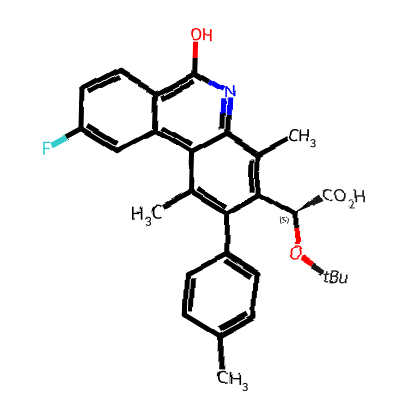 Cc1ccc(-c2c([C@H](OC(C)(C)C)C(=O)O)c(C)c3nc(O)c4ccc(F)cc4c3c2C)cc1